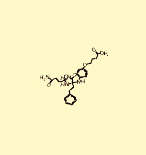 NC(=O)CCC(=O)NC(CCc1ccccc1)(Nc1ccc(OCCCC(=O)O)cc1)C(N)=O